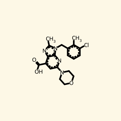 Cc1c(Cl)cccc1Cn1c(C)nc2c(C(=O)O)cc(N3CCOCC3)nc21